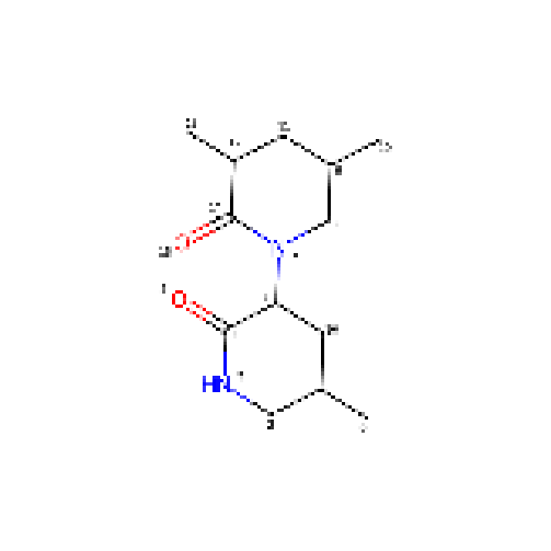 CC1CNC(=O)C(N2CC(C)CC(C)C2=O)C1